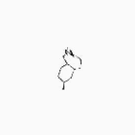 C[C@H]1CCC2CN(C)CCC2C1